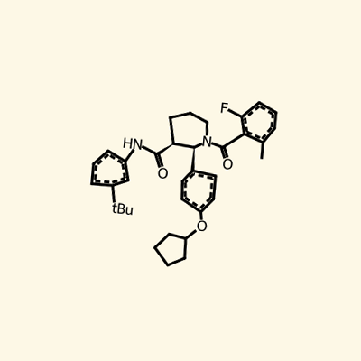 Cc1cccc(F)c1C(=O)N1CCC[C@H](C(=O)Nc2cccc(C(C)(C)C)c2)[C@@H]1c1ccc(OC2CCCC2)cc1